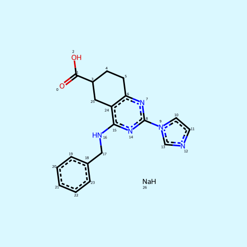 O=C(O)C1CCc2nc(-n3ccnc3)nc(NCc3ccccc3)c2C1.[NaH]